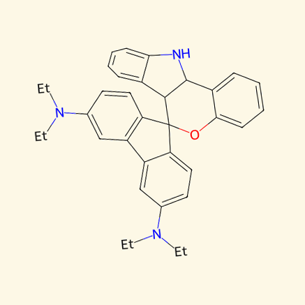 CCN(CC)c1ccc2c(c1)-c1cc(N(CC)CC)ccc1C21Oc2ccccc2C2Nc3ccccc3C21